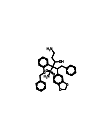 NCCC(O)C(c1ccccc1OCc1ccccc1)(C(Cc1ccccc1)c1ccc2c(c1)OCO2)S(N)(=O)=O